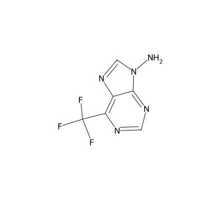 Nn1cnc2c(C(F)(F)F)ncnc21